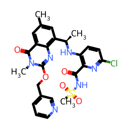 Cc1cc([C@@H](C)Nc2ccc(Cl)nc2C(=O)NS(C)(=O)=O)c2nc(OCc3cccnc3)n(C)c(=O)c2c1